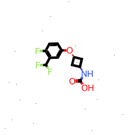 O=C(O)N[C@H]1C[C@H](Oc2ccc(F)c(C(F)F)c2)C1